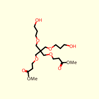 COC(=O)CCOCC(COCCCO)(COCCCO)COCCC(=O)OC